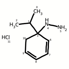 CC(C)C1(NN)C=CC=CC1.Cl